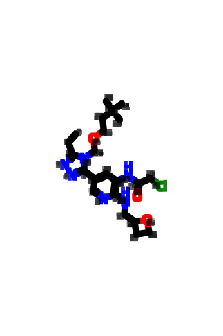 CCc1nnc(-c2cnc(NCC3CCO3)c(NC(=O)CCl)c2)n1COCC[Si](C)(C)C